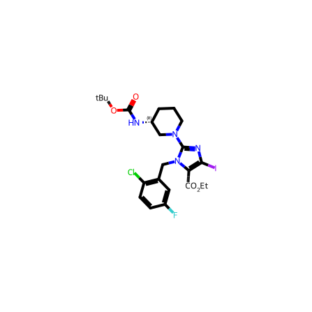 CCOC(=O)c1c(I)nc(N2CCC[C@@H](NC(=O)OC(C)(C)C)C2)n1Cc1cc(F)ccc1Cl